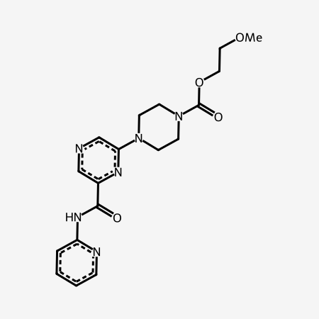 COCCOC(=O)N1CCN(c2cncc(C(=O)Nc3ccccn3)n2)CC1